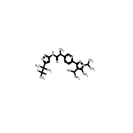 CC(C(=O)Nc1cc(C(C)(C)C(C)(F)F)on1)c1ccc(-c2nn(C(C)C)c(N)c2C(N)O)nc1